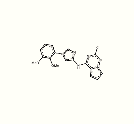 COc1[c]ccc(-n2cnc(Nc3nc(Cl)nn4cccc34)c2)c1OC